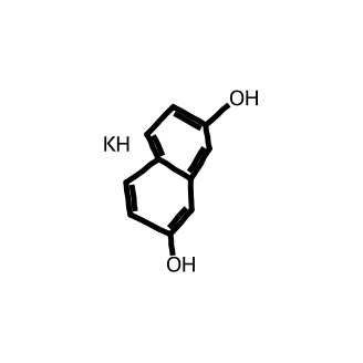 Oc1ccc2ccc(O)cc2c1.[KH]